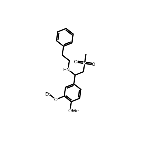 CCOc1cc(C(CS(C)(=O)=O)NCCc2ccccc2)ccc1OC